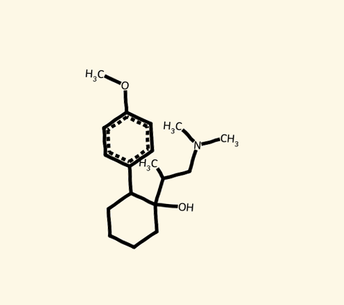 COc1ccc(C2CCCCC2(O)C(C)CN(C)C)cc1